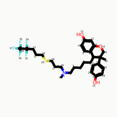 CN(CCCCCC1c2ccc(O)cc2OCC1(C)c1ccc(O)cc1)CCCSCCCC(F)(F)C(F)(F)F